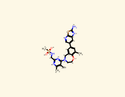 Cc1cc(-c2cnc3sc(N)nc3c2)cc2c1OCCN(c1nc(CNS(C)(=O)=O)nc(C)c1C(C)C)C2